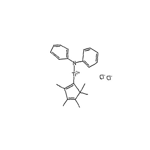 CC1=C(C)C(C)(C)[C]([Ti+2][N](c2ccccc2)c2ccccc2)=C1C.[Cl-].[Cl-]